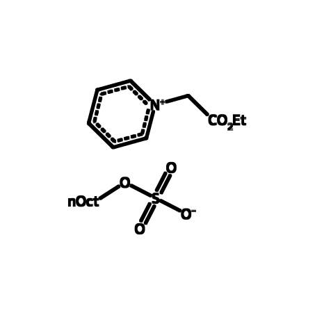 CCCCCCCCOS(=O)(=O)[O-].CCOC(=O)C[n+]1ccccc1